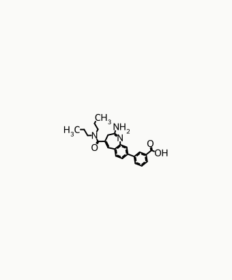 CCCN(CCC)C(=O)C1=Cc2ccc(-c3cccc(C(=O)O)c3)cc2N=C(N)C1